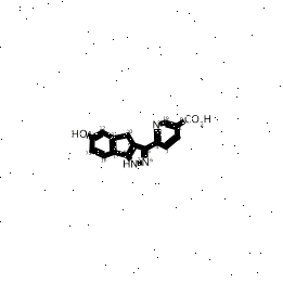 O=C(O)c1ccc(-c2n[nH]c3c2Cc2cc(O)ccc2-3)nc1